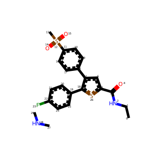 CCNC(=O)c1cc(-c2ccc(S(C)(=O)=O)cc2)c(-c2ccc(F)cc2)s1.CNC